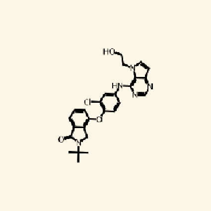 CC(C)(C)N1Cc2c(Oc3ccc(Nc4ncnc5ccn(CCO)c45)cc3Cl)cccc2C1=O